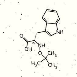 CC(C)(C)ON[C@@H](Cc1c[nH]c2ccccc12)C(=O)O